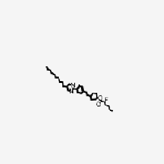 CCCCCCCCCCc1cnc(-c2ccc(CCC3CCC(OC(=O)C(F)CCCC)CC3)cc2)nc1